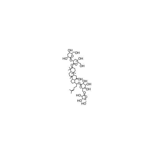 CC(C)=CCCC(O[C@@H]1OC(CO[C@H]2O[C@H](CO)C(O)C2O)[C@@H](O)C(O)C1O)C1CCC2C1[C@H](O)CC1[C@@]2(C)CCC2C(C)(C)[C@@H](O[C@@H]3OC(CO)[C@@H](O)CC3O[C@@H]3OC(CO)C(O)CC3O)CC[C@@]21C